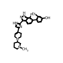 CCc1cc(O)ccc1-c1ccc2c(-c3nc(C4=CCN(C5CCCN(C)C5)CC4)c[nH]3)n[nH]c2c1F